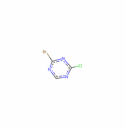 Clc1ncnc(Br)n1